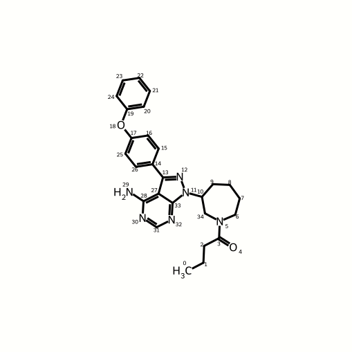 CCCC(=O)N1CCCCC(n2nc(-c3ccc(Oc4ccccc4)cc3)c3c(N)ncnc32)C1